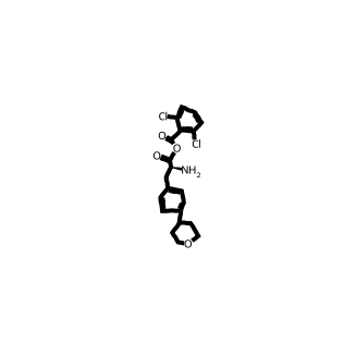 N[C@@H](Cc1ccc(C2CCOCC2)cc1)C(=O)OC(=O)c1c(Cl)cccc1Cl